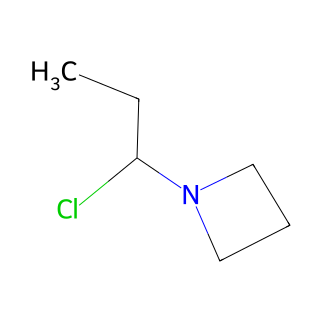 CCC(Cl)N1CCC1